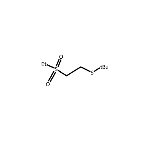 [CH2]CS(=O)(=O)CCSC(C)(C)C